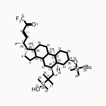 C[C@H](/C=C/C(=O)C(F)(F)F)[C@H]1CCC2C3C[C@H](CC(C)(C)[Si](C)(C)O)[C@@H]4C[C@H](O[Si](C)(C)C(C)(C)C)CC[C@]4(C)C3CC[C@@]21C